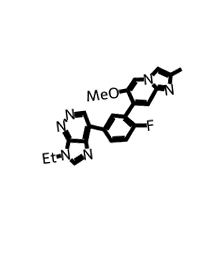 CCn1cnc2c(-c3ccc(F)c(-c4cc5nc(C)cn5cc4OC)c3)cnnc21